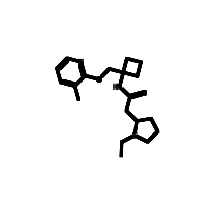 CCN1CCCC1CC(=O)NC1(COc2ncccc2C)CCC1